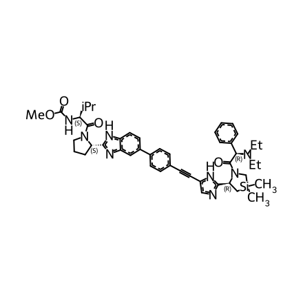 CCN(CC)[C@@H](C(=O)N1C[Si](C)(C)C[C@H]1c1ncc(C#Cc2ccc(-c3ccc4[nH]c([C@@H]5CCCN5C(=O)[C@@H](NC(=O)OC)C(C)C)nc4c3)cc2)[nH]1)c1ccccc1